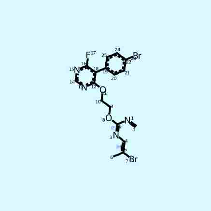 C=N/C(=N\C=C(/C)Br)OCCOc1ncnc(F)c1-c1ccc(Br)cc1